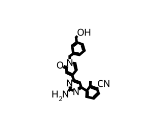 Cc1c(C#N)cccc1-c1cc(-c2ccn(Cc3cccc(CO)c3)c(=O)c2)nc(N)n1